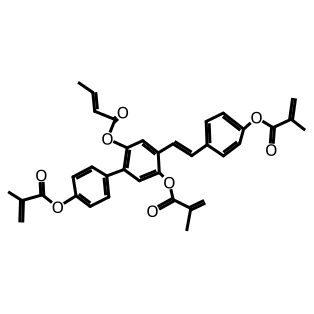 C=C(C)C(=O)Oc1ccc(/C=C/c2cc(OC(=O)/C=C/C)c(-c3ccc(OC(=O)C(=C)C)cc3)cc2OC(=O)C(=C)C)cc1